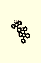 Cc1c2ccccc2c(-c2cccc3c2sc2cccc(-c4c5ccccc5c(-c5ccccc5)c5ccccc45)c23)c2ccccc12